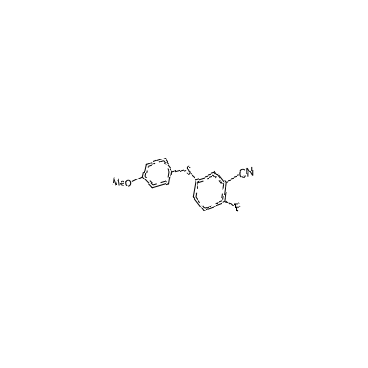 COc1ccc(Sc2ccc(F)c(C#N)c2)cc1